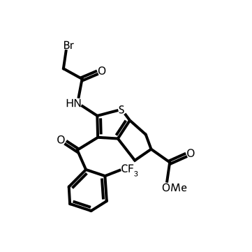 COC(=O)C1Cc2sc(NC(=O)CBr)c(C(=O)c3ccccc3C(F)(F)F)c2C1